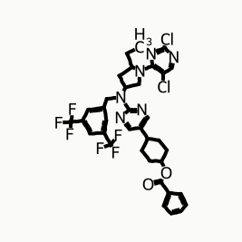 CCC1CC(N(Cc2cc(C(F)(F)F)cc(C(F)(F)F)c2)c2ncc(C3CCC(OC(=O)c4ccccc4)CC3)cn2)CN1c1nc(Cl)ncc1Cl